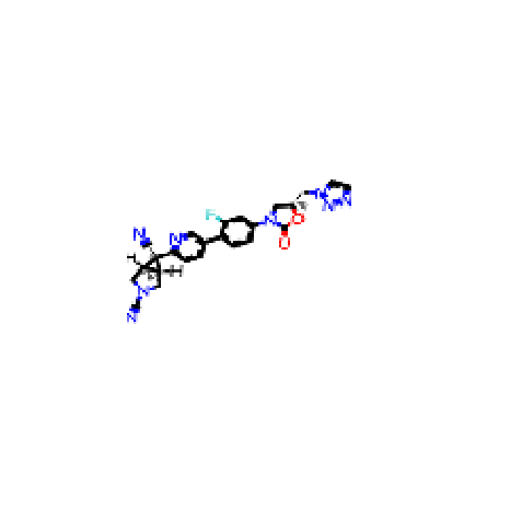 N#CN1C[C@@H]2[C@H](C1)[C@@]2(C#N)c1ccc(-c2ccc(N3C[C@H](Cn4ccnn4)OC3=O)cc2F)cn1